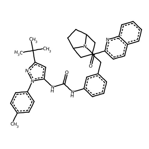 Cc1ccc(-n2nc(C(C)(C)C)cc2NC(=O)Nc2cccc(CC3CC4CCC(C3)N4C(=O)c3ccc4ccccc4n3)c2)cc1